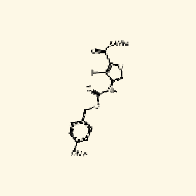 COC(=O)C1=C(I)C(NC(=O)OCc2ccc(OC)cc2)CO1